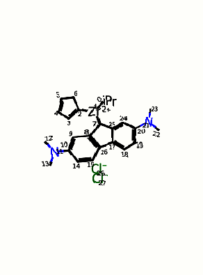 C[CH](C)[Zr+2]([C]1=CC=CC1)[CH]1c2cc(N(C)C)ccc2-c2ccc(N(C)C)cc21.[Cl-].[Cl-]